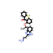 CCC(Oc1cccc2sc3ccccc3c(=O)c12)c1cccc2[nH]c(CCN)nc12